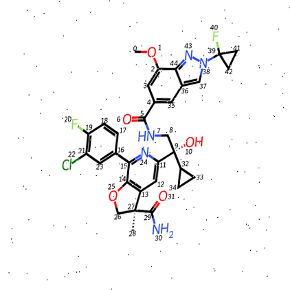 COc1cc(C(=O)NC[C@](O)(c2cc3c(c(-c4ccc(F)c(Cl)c4)n2)OC[C@]3(C)C(N)=O)C2CC2)cc2cn(C3(F)CC3)nc12